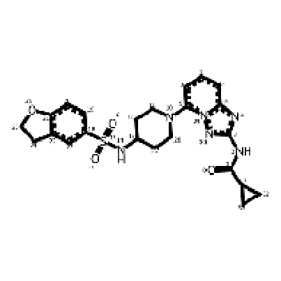 O=C(Nc1nc2cccc(N3CCC(NS(=O)(=O)c4ccc5c(c4)CCO5)CC3)n2n1)C1CC1